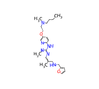 C=N/C(=N\C=C(\C)CNCc1ccco1)Nc1ccc(OCCN(C)CCCC)cn1